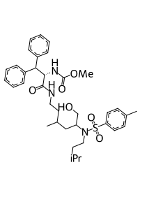 COC(=O)N[C@H](C(=O)NCCC(C)CC(CO)N(CCC(C)C)S(=O)(=O)c1ccc(C)cc1)C(c1ccccc1)c1ccccc1